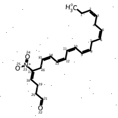 CC/C=C\C/C=C\C\C=C/C=C\C=C/C=C\C/C(=C\CC[C]=O)[N+](=O)[O-]